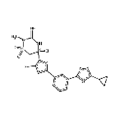 CN1C(=N)N[C@](C)(c2sc(-c3cccc(-c4nnc(C5CC5)o4)c3)cc2F)CS1(=O)=O